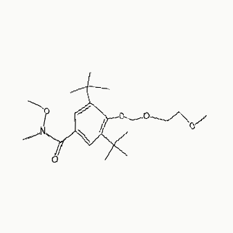 COCCOCOc1c(C(C)(C)C)cc(C(=O)N(C)OC)cc1C(C)(C)C